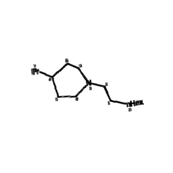 CCCCCCCCN1CCC(C(C)C)CC1